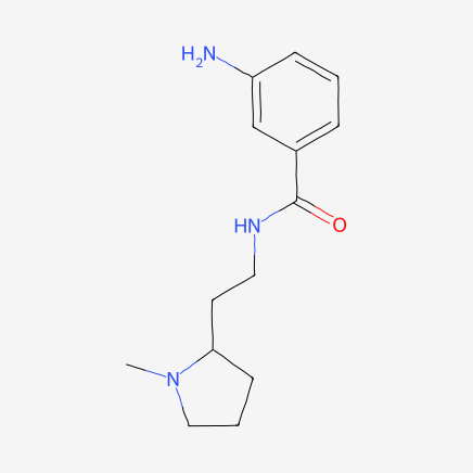 CN1CCCC1CCNC(=O)c1cccc(N)c1